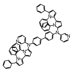 c1ccc(-c2ccc(-c3ccc(N(c4ccc(-c5ccc(N(c6cccnc6)c6ccc(-c7ccc(-c8ccccc8)n7-c7ccccc7)n6-c6ccccc6)cc5)cc4)c4cccnc4)n3-c3ccccc3)n2-c2ccccc2)cc1